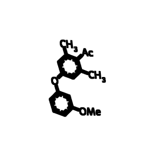 COc1cccc(Oc2cc(C)c(C(C)=O)c(C)c2)c1